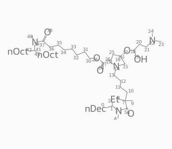 CCCCCCCCCCC(CC)N(C)C(=O)C(C)(C)CCCCN1C[C@@H](OC(O)CCN(C)C)C[C@H]1C(=O)OCCCCCCCC(=O)N(C)C(CCCCCCCC)CCCCCCCC